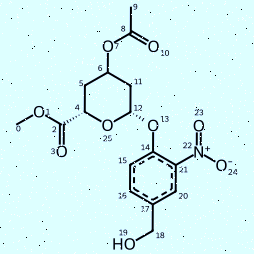 COC(=O)[C@@H]1CC(OC(C)=O)C[C@H](Oc2ccc(CO)cc2[N+](=O)[O-])O1